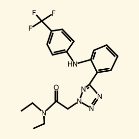 CCN(CC)C(=O)Cn1nnc(-c2ccccc2Nc2ccc(C(F)(F)F)cc2)n1